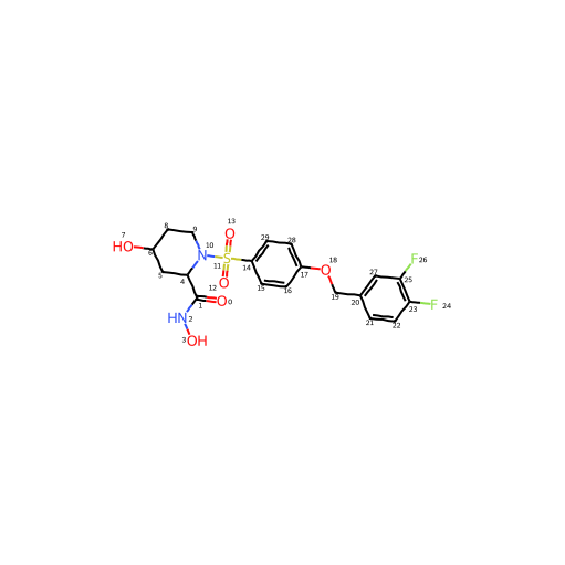 O=C(NO)C1CC(O)CCN1S(=O)(=O)c1ccc(OCc2ccc(F)c(F)c2)cc1